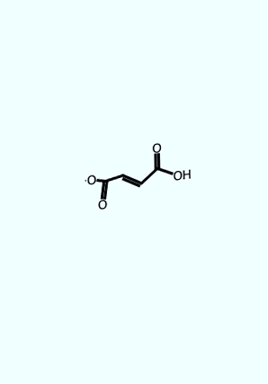 [O]C(=O)/C=C/C(=O)O